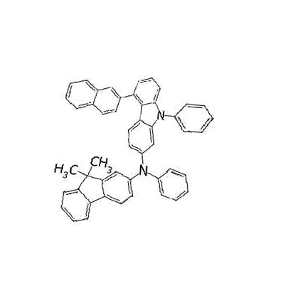 CC1(C)c2ccccc2-c2ccc(N(c3ccccc3)c3ccc4c5c(-c6ccc7ccccc7c6)cccc5n(-c5ccccc5)c4c3)cc21